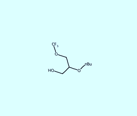 CCCCOC(CO)COC(F)(F)F